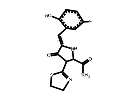 NC(=O)C1N/C(=C\c2cc(F)ccc2O)C(=O)C1C1=NCCS1